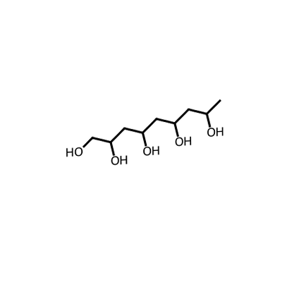 CC(O)CC(O)CC(O)CC(O)CO